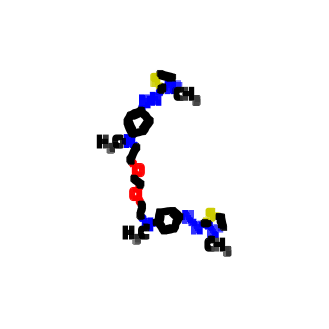 CN(CCOCCOCCN(C)c1ccc(N=Nc2scc[n+]2C)cc1)c1ccc(N=Nc2scc[n+]2C)cc1